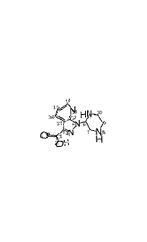 O=C(O)c1nn(C2CNCCN2)c2ncccc12